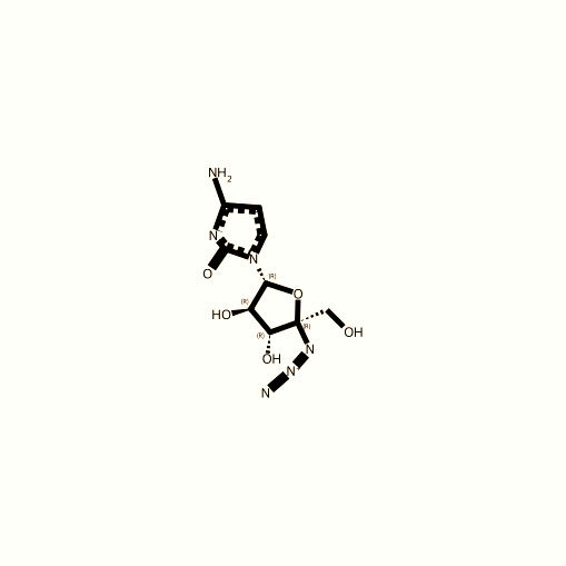 [N-]=[N+]=N[C@]1(CO)O[C@@H](n2ccc(N)nc2=O)[C@H](O)[C@H]1O